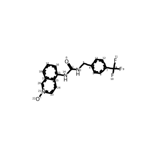 O=C(NCc1ccc(C(F)(F)F)cc1)Nc1cccc2c[n+]([O-])ccc12